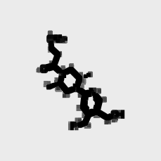 COCCC(=O)N1C[C@H](C)N(c2cc(CC(C)C)c(CO)cn2)C[C@H]1C